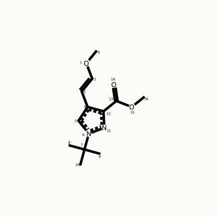 CO/C=C/c1cn(C(C)(C)C)nc1C(=O)OC